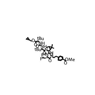 COC(=O)c1ccc(CCNC(=O)[C@H](CC(F)F)NC(=O)[C@@H]2C3C(CN2C(=O)[C@@H](NC(=O)N[C@H](C(=O)OCC2CC2)C(C)(C)C)C(C)(C)C)C3(C)C)cc1